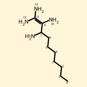 CCCCCCCC(N)C(N)=C(N)N